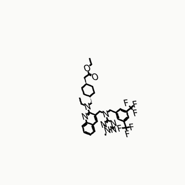 CCOC(=O)C[C@H]1CC[C@H](CN(CC)c2nc3ccccc3cc2CN(Cc2cc(C(F)(F)F)cc(C(F)(F)F)c2)c2nnn(C)n2)CC1